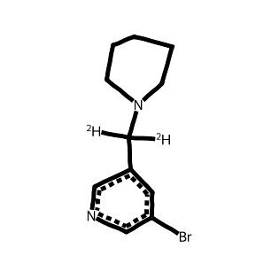 [2H]C([2H])(c1cncc(Br)c1)N1CCCCC1